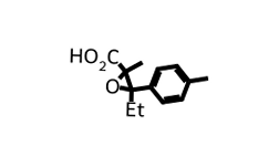 CCC1(c2ccc(C)cc2)OC1(C)C(=O)O